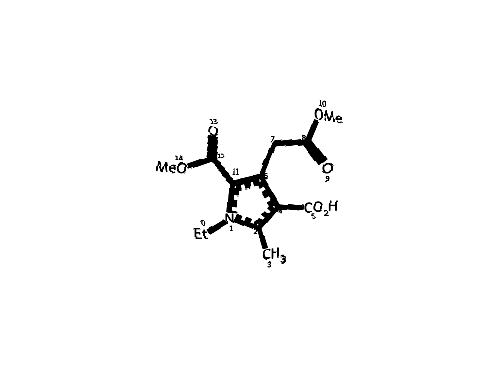 CCn1c(C)c(C(=O)O)c(CC(=O)OC)c1C(=O)OC